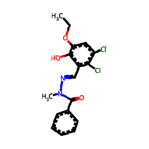 CCOc1cc(Cl)c(Cl)c(C=NN(C)C(=O)c2ccccc2)c1O